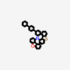 c1ccc(-c2ccc(-c3cccc(N(c4cccc5oc6ccccc6c45)c4cccc5sc6ccccc6c45)c3)cc2)cc1